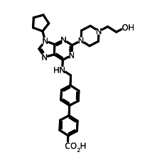 O=C(O)c1ccc(-c2ccc(CNc3nc(N4CCN(CCO)CC4)nc4c3ncn4C3CCCC3)cc2)cc1